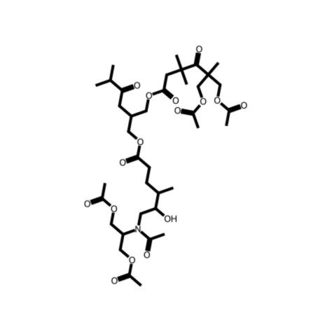 CC(=O)OCC(COC(C)=O)N(CC(O)C(C)CCC(=O)OCC(COC(=O)CC(C)(C)C(=O)C(C)(COC(C)=O)COC(C)=O)CC(=O)C(C)C)C(C)=O